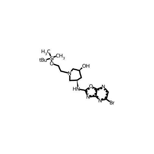 CC(C)(C)[Si](C)(C)OCCN1C[C@@H](O)C[C@@H](Nc2nc3nc(Br)cnc3o2)C1